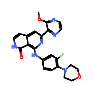 COc1nccnc1-c1cc2cc[nH]c(=O)c2c(Nc2ccc(N3CCOCC3)c(F)c2)n1